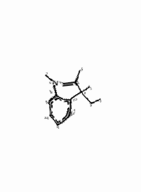 CCC1(C)C(C)=[N+](C)c2ccccc21